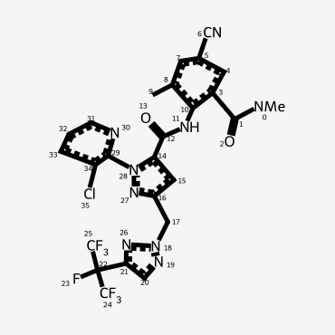 CNC(=O)c1cc(C#N)cc(C)c1NC(=O)c1cc(Cn2ncc(C(F)(C(F)(F)F)C(F)(F)F)n2)nn1-c1ncccc1Cl